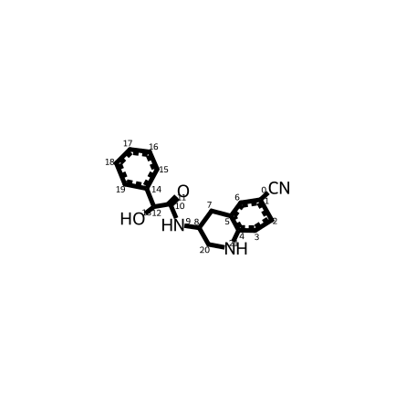 N#Cc1ccc2c(c1)CC(NC(=O)C(O)c1ccccc1)CN2